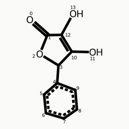 O=C1OC(c2ccccc2)C(O)=C1O